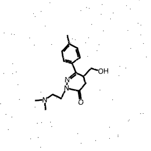 Cc1ccc(C2=NN(CCN(C)C)C(=O)CC2CO)cc1